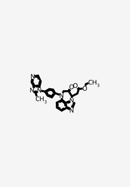 CCOC(=O)CC1C(=O)CN(c2ccc(-n3c(C)nc4cnccc43)cc2)c2cccc3ncn1c23